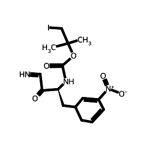 CC(C)(CI)OC(=O)N[C@@H](CC1C=C([N+](=O)[O-])C=CC1)C(=O)C=N